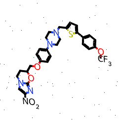 O=[N+]([O-])c1cn2c(n1)OC(COc1ccc(N3CCN(Cc4ccc(-c5ccc(OC(F)(F)F)cc5)s4)CC3)cc1)CC2